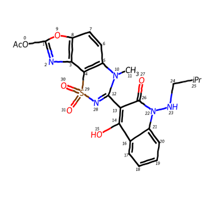 CC(=O)Oc1nc2c3c(ccc2o1)N(C)C(c1c(O)c2ccccc2n(NCC(C)C)c1=O)=NS3(=O)=O